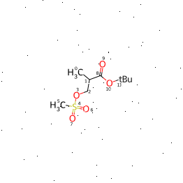 CC(COS(C)(=O)=O)C(=O)OC(C)(C)C